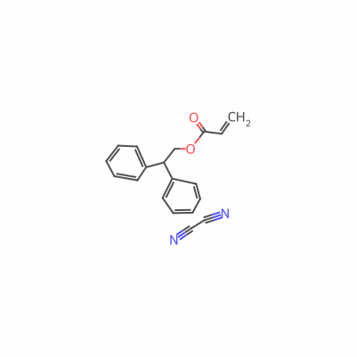 C=CC(=O)OCC(c1ccccc1)c1ccccc1.N#CC#N